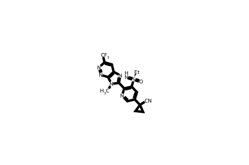 CC[S@](=N)(=O)c1cc(C2(C#N)CC2)cnc1-c1nc2cc(C(F)(F)F)nnc2n1C